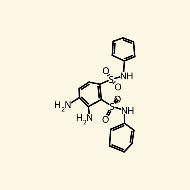 Nc1ccc(S(=O)(=O)Nc2ccccc2)c(S(=O)(=O)Nc2ccccc2)c1N